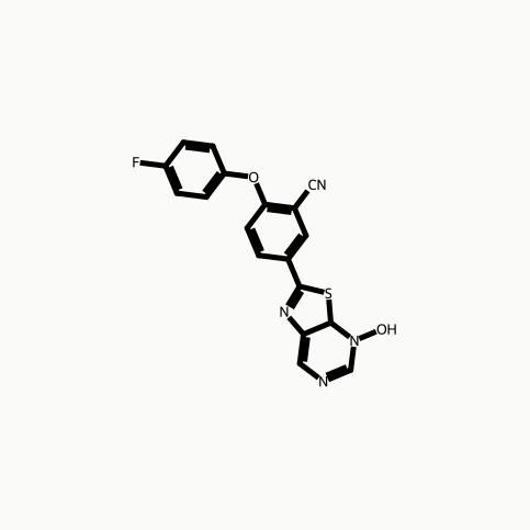 N#Cc1cc(C2=NC3=CN=CN(O)C3S2)ccc1Oc1ccc(F)cc1